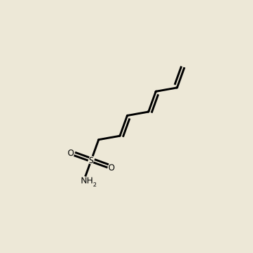 C=CC=CC=CCS(N)(=O)=O